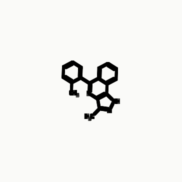 Cc1ccccc1-c1nc2c(C)n[nH]c2c2ccccc12